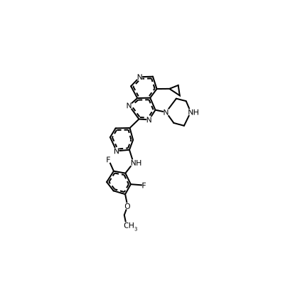 CCOc1ccc(F)c(Nc2cc(-c3nc(N4CCNCC4)c4c(C5CC5)cncc4n3)ccn2)c1F